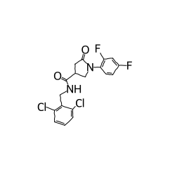 O=C(NCc1c(Cl)cccc1Cl)C1CC(=O)N(c2ccc(F)cc2F)C1